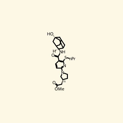 CCCSc1nc(N2CC[C@@H](CC(=O)OC)C2)ccc1C(=O)N[C@H]1C2CC3CC1C[C@](O)(C3)C2